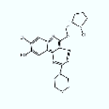 CN1CCC[C@H]1COc1nc2cc(Cl)c(O)cc2c2nc(N3CCNCC3)ncc12